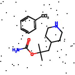 CC(C)(CC1CCNCC1)OC(N)=O.ClC(Cl)(Cl)c1ccccc1